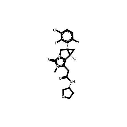 Cn1c(CC(=O)N[C@@H]2CCOC2)c2n(c1=S)C[C@@]1(c3c(F)ccc(Cl)c3F)C[C@@H]21